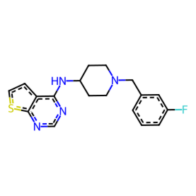 Fc1cccc(CN2CCC(Nc3ncnc4sccc34)CC2)c1